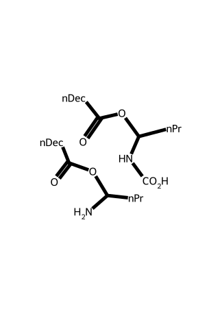 CCCCCCCCCCC(=O)OC(CCC)NC(=O)O.CCCCCCCCCCC(=O)OC(N)CCC